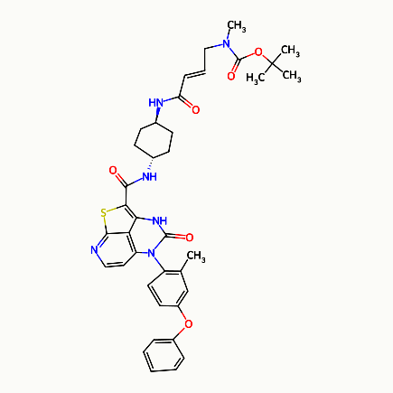 Cc1cc(Oc2ccccc2)ccc1N1C(=O)Nc2c(C(=O)N[C@H]3CC[C@H](NC(=O)/C=C/CN(C)C(=O)OC(C)(C)C)CC3)sc3nccc1c23